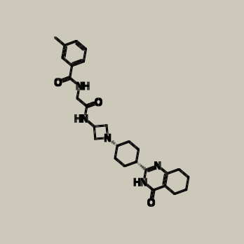 Cc1cccc(C(=O)NCC(=O)NC2CN([C@H]3CC[C@@H](c4nc5c(c(=O)[nH]4)CCCC5)CC3)C2)c1